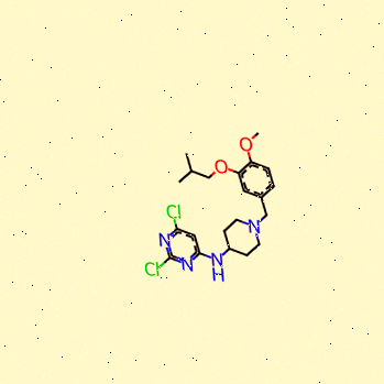 COc1ccc(CN2CCC(Nc3cc(Cl)nc(Cl)n3)CC2)cc1OCC(C)C